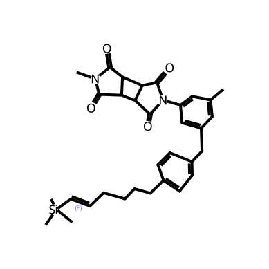 Cc1cc(Cc2ccc(CCCC/C=C/[Si](C)(C)C)cc2)cc(N2C(=O)C3C4C(=O)N(C)C(=O)C4C3C2=O)c1